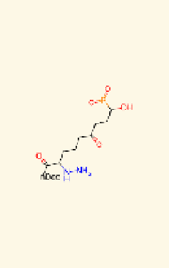 CCCCCCCCCCC(=O)C(CCCC(=O)CCC(O)P(=O)=O)NN